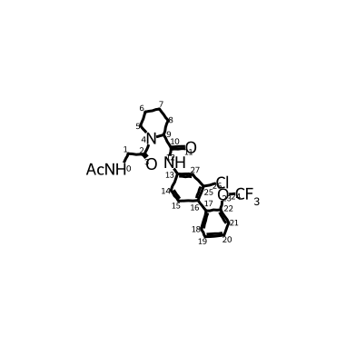 CC(=O)NCC(=O)N1CCCCC1C(=O)Nc1ccc(-c2ccccc2OC(F)(F)F)c(Cl)c1